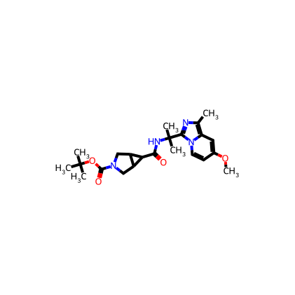 COc1ccn2c(C(C)(C)NC(=O)C3C4CN(C(=O)OC(C)(C)C)CC43)nc(C)c2c1